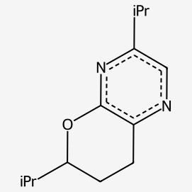 CC(C)c1cnc2c(n1)OC(C(C)C)CC2